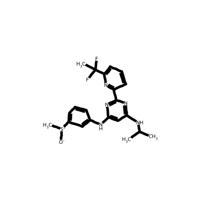 CC(C)Nc1cc(Nc2cccc([S+](C)[O-])c2)nc(-c2cccc(C(C)(F)F)n2)n1